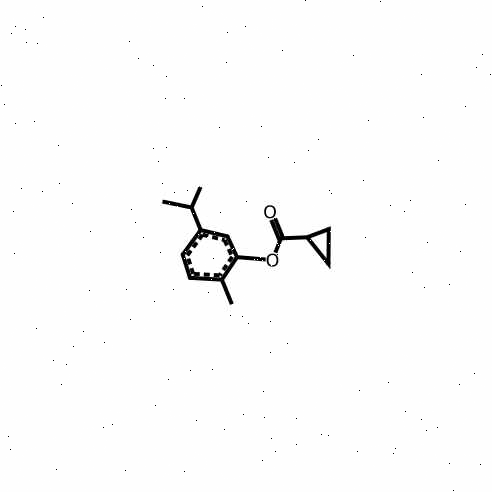 Cc1ccc(C(C)C)cc1OC(=O)C1CC1